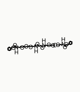 O=C(CCC(=O)NCCCOCCOCCOCCCNC(=O)OCc1ccccc1)NCCCOCCOCCOCCCNC(=O)OCc1ccccc1